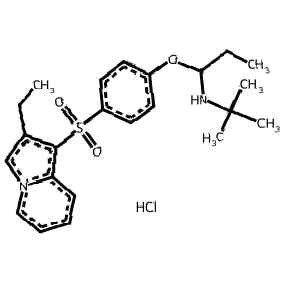 CCc1cn2ccccc2c1S(=O)(=O)c1ccc(OC(CC)NC(C)(C)C)cc1.Cl